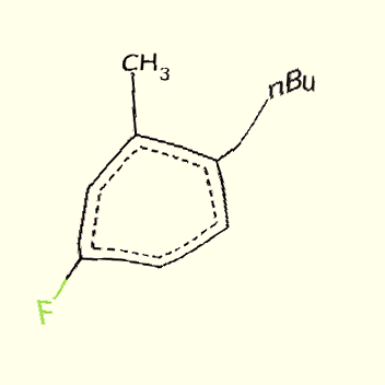 CCCCc1ccc(F)cc1C